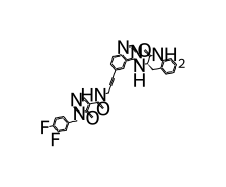 NC(=O)[C@@H](Cc1ccccc1)Nc1ncnc2ccc(C#CCNC(=O)c3cncn(Cc4ccc(F)c(F)c4)c3=O)cc12